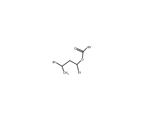 CCCC(=O)OC(CC)CC(C)C(C)C